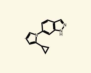 [c]1cc(C2CC2)n(-c2ccc3cn[nH]c3c2)c1